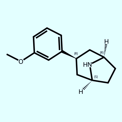 COc1cccc([C@H]2C[C@H]3CC[C@@H](C2)N3)c1